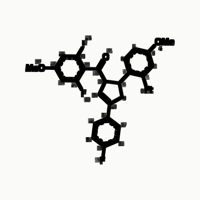 CCc1cc(OC)ccc1C1CC(c2ccc(F)cc2)=CC1C(=O)c1c(F)cc(OC)cc1F